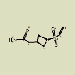 C=CS(=O)(=O)N1CC(CC(N)=O)C1